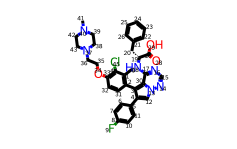 Cc1c(-c2c(-c3ccc(F)cc3)cn3ncnc(N[C@H](Cc4ccccc4)C(=O)O)c23)ccc(OCCN2CCN(C)CC2)c1Cl